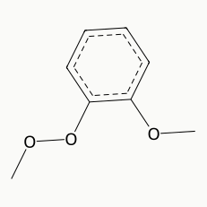 COOc1ccccc1OC